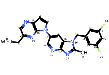 COCc1cnc2ccn(-c3cnc4nc(C)n(Cc5cc(F)cc(F)c5)c4c3)c2n1